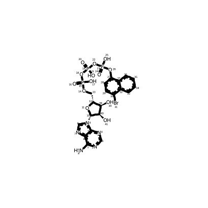 Nc1ncnc2c1ncn2[C@@H]1O[C@H](COP(=O)(O)OP(=O)(O)OP(=O)(O)Oc2ccc(Br)c3ccccc23)[C@@H](O)[C@H]1O